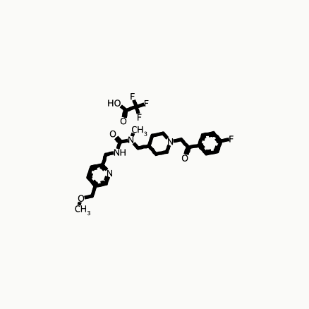 COCc1ccc(CNC(=O)N(C)CC2CCN(CC(=O)c3ccc(F)cc3)CC2)nc1.O=C(O)C(F)(F)F